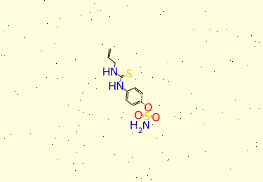 C=CCNC(=S)Nc1ccc(OS(N)(=O)=O)cc1